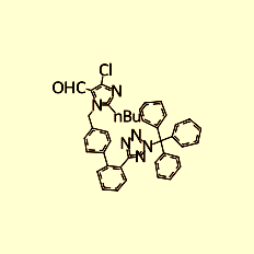 CCCCc1nc(Cl)c(C=O)n1Cc1ccc(-c2ccccc2-c2nnn(C(c3ccccc3)(c3ccccc3)c3ccccc3)n2)cc1